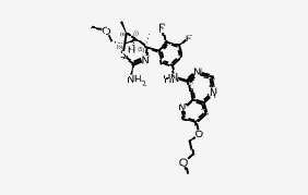 COCCOc1cnc2c(Nc3cc(F)c(F)c([C@@]4(C)N=C(N)S[C@]5(COC)[C@H]4[C@@H]5C)c3)ncnc2c1